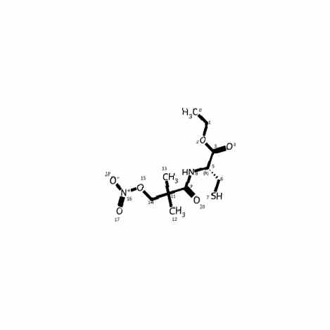 CCOC(=O)[C@H](CS)NC(=O)C(C)(C)CO[N+](=O)[O-]